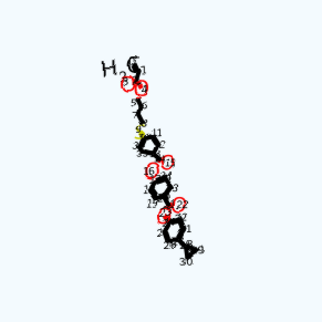 C=CC(=O)OCCCCSc1ccc(C(=O)Oc2ccc(C(=O)Oc3ccc(C4CC4)cc3)cc2)cc1